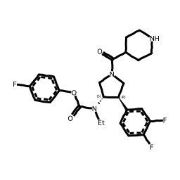 CCN(C(=O)Oc1ccc(F)cc1)[C@@H]1CN(C(=O)C2CCNCC2)C[C@H]1c1ccc(F)c(F)c1